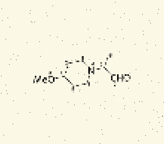 COC1CCN(C(C)C=O)CC1